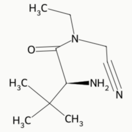 CCN(CC#N)C(=O)[C@@H](N)C(C)(C)C